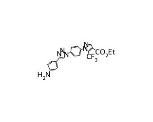 CCOC(=O)c1cnn(-c2ccc(-n3cc(-c4ccc(N)cc4)nn3)cc2)c1C(F)(F)F